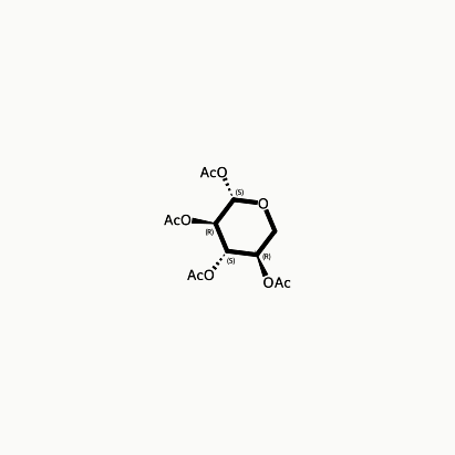 CC(=O)O[C@@H]1OC[C@@H](OC(C)=O)[C@H](OC(C)=O)[C@H]1OC(C)=O